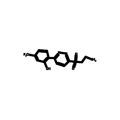 NCCS(=O)(=O)c1ccc(-c2ccc(C(F)(F)F)cc2O)nn1